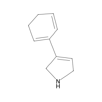 C1=CC(C2=CCNC2)=CCC1